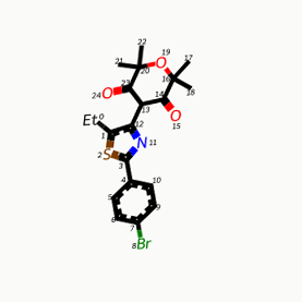 CCc1sc(-c2ccc(Br)cc2)nc1C1C(=O)C(C)(C)OC(C)(C)C1=O